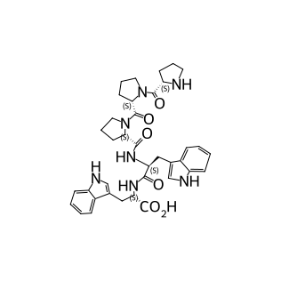 O=C(O)[C@H](Cc1c[nH]c2ccccc12)NC(=O)[C@H](Cc1c[nH]c2ccccc12)NC(=O)[C@@H]1CCCN1C(=O)[C@@H]1CCCN1C(=O)[C@@H]1CCCN1